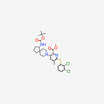 COC(=O)c1nc(Sc2cccc(Cl)c2Cl)c(C)cc1N1CCC2(CCC[C@H]2NC(=O)OC(C)(C)C)CC1